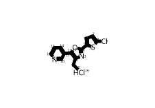 CCc1nc(-c2ccc(Cl)s2)oc1-c1cccnc1.Cl